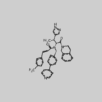 CC(c1cn[nH]c1)C(C(=O)N1CCc2ccccc2C1)N(Cc1ccc(-c2ccncc2)cc1)C(=O)C=Cc1ccc(C(F)(F)F)cc1